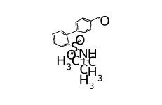 CC(C)(C)NS(=O)(=O)c1ccccc1-c1ccc(C=O)cc1